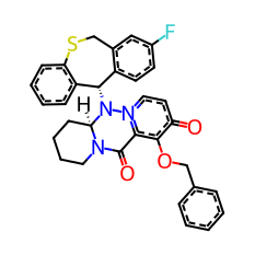 O=C1c2c(OCc3ccccc3)c(=O)ccn2N([C@H]2c3ccc(F)cc3CSc3ccccc32)[C@@H]2CCCCN12